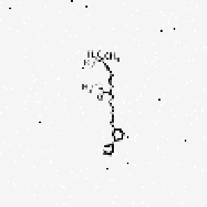 COC(=O)C(=CCCCC=Cc1cccc(-c2ccsc2)c1)CC=CC#CC(C)(C)C